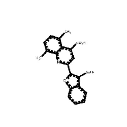 CNc1c(-c2cc(C(=O)O)c3c(C)ccc(C)c3n2)oc2ccccc12